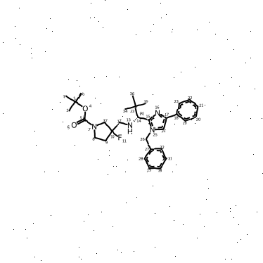 CC(C)(C)OC(=O)N1CCC(F)(CN[C@@H](c2nc(-c3ccccc3)cn2Cc2ccccc2)C(C)(C)C)C1